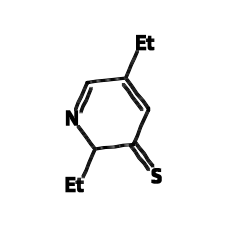 CCC1=CC(=S)C(CC)N=C1